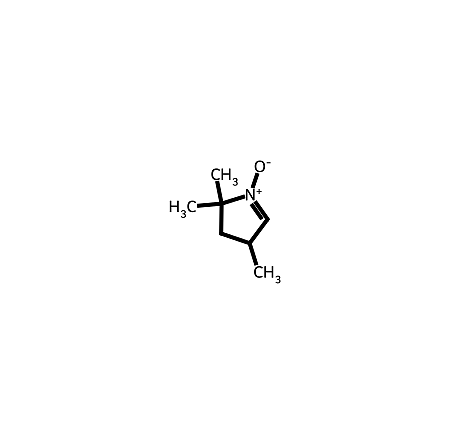 CC1C=[N+]([O-])C(C)(C)C1